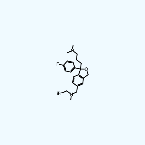 CC(C)CN(C)Cc1ccc2c(c1)COC2(CCCN(C)C)c1ccc(F)cc1